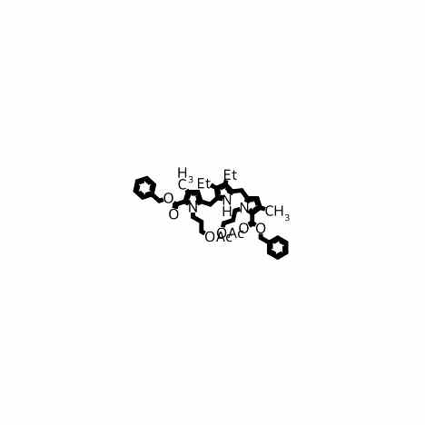 CCc1c(Cc2cc(C)c(C(=O)OCc3ccccc3)n2CCCOC(C)=O)[nH]c(Cc2cc(C)c(C(=O)OCc3ccccc3)n2CCCOC(C)=O)c1CC